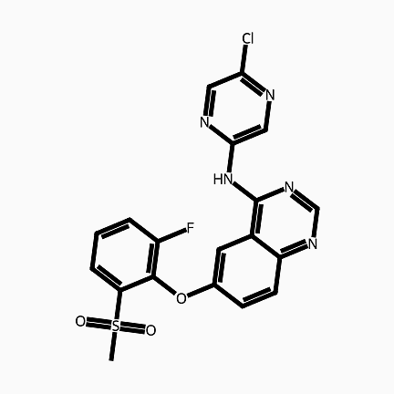 CS(=O)(=O)c1cccc(F)c1Oc1ccc2ncnc(Nc3cnc(Cl)cn3)c2c1